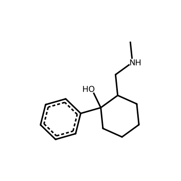 CNCC1CCCCC1(O)c1ccccc1